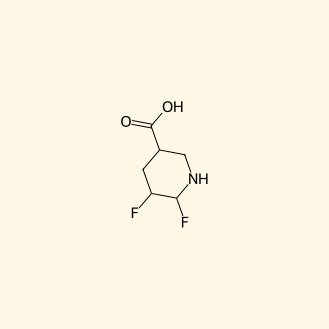 O=C(O)C1CNC(F)C(F)C1